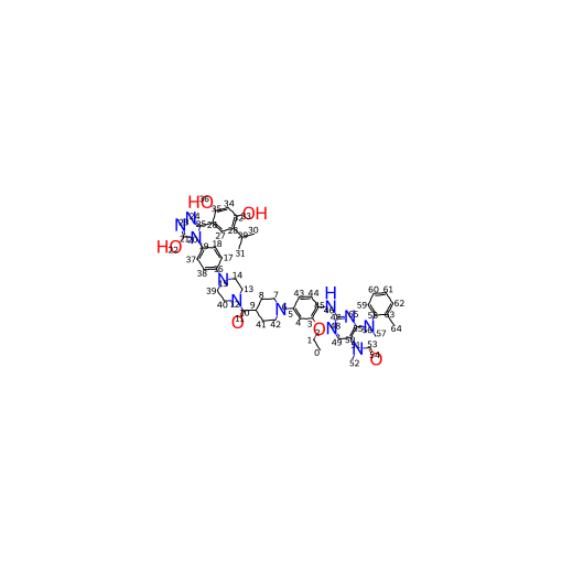 CCOc1cc(N2CCC(C(=O)N3CCN(c4ccc(-n5c(O)nnc5-c5cc(C(C)C)c(O)cc5O)cc4)CC3)CC2)ccc1Nc1ncc(N(C)C=O)c(N(C)c2ccccc2C)n1